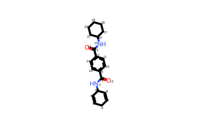 O=C(NC1C=CCC=C1)c1ccc(C(=O)NC2CCCCC2)cc1